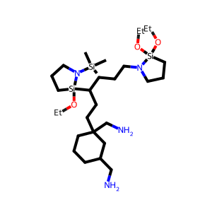 CCO[Si]1(OCC)CCCN1CCCC(CCC1(CN)CCCC(CN)C1)[Si]1(OCC)CCCN1[Si](C)(C)C